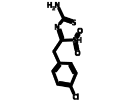 NC(=S)N=C(Cc1ccc(Cl)cc1)[SH](=O)=O